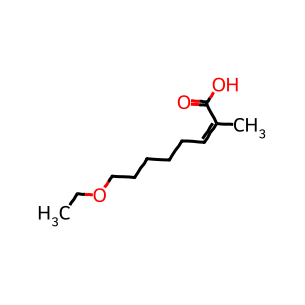 CCOCCCCCC=C(C)C(=O)O